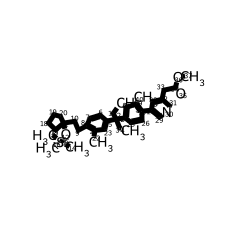 CCC(CC)(c1ccc(CCC2(O[Si](C)(C)C)CCCC2)c(C)c1)c1ccc(-c2cncc(CC(=O)OC)c2)c(C)c1